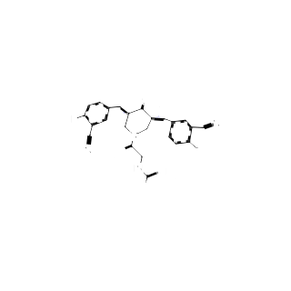 C=C(C)NCC(=C)N1C/C(=C\c2ccc(F)c(C#N)c2)C(=C)/C(=C/c2ccc(F)c(C#N)c2)C1